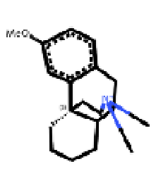 COc1ccc2c(c1)[C@]13CCCCC1C(C2)[N+](C)(C)CC3